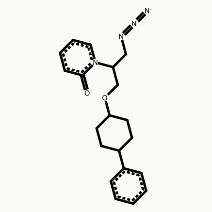 [N-]=[N+]=NCC(COC1CCC(c2ccccc2)CC1)n1ccccc1=O